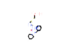 C[C@H]1CC[C@H](N(Cc2ccccc2)C(=O)Nc2ncc(SCC(=O)O)s2)CC1